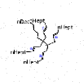 CCCCCCC/C=C/C[C](C/C=C/CCCCCCC)C(C/C=C/CCCCCCC)(C/C=C/CCCCCCC)CCCCCCCCCCCCCC